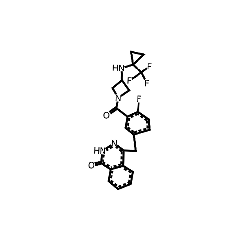 O=C(c1cc(Cc2n[nH]c(=O)c3ccccc23)ccc1F)N1CC(NC2(C(F)(F)F)CC2)C1